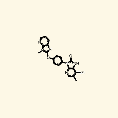 Cc1cnc2c([nH]c(=O)n2-c2ccc(Oc3nc4cccnc4n3C)cc2)c1C(C)C